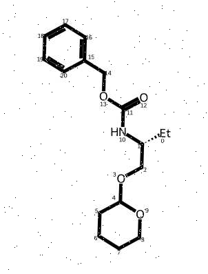 CC[C@H](COC1CCCCO1)NC(=O)OCc1ccccc1